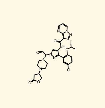 O=CC(N1CCN(C2COC(=O)C2)CC1)n1cc(NC(=O)c2cnn3cccnc23)c(-c2cc(Cl)ccc2OC(F)F)n1